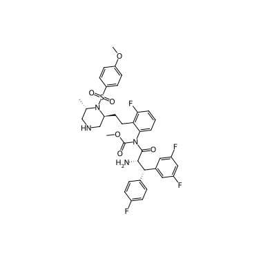 COC(=O)N(C(=O)[C@@H](N)[C@@H](c1ccc(F)cc1)c1cc(F)cc(F)c1)c1cccc(F)c1CC[C@H]1CNC[C@H](C)N1S(=O)(=O)c1ccc(OC)cc1